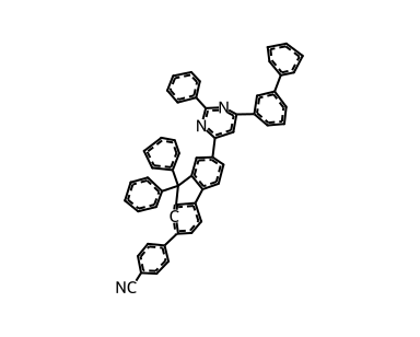 N#Cc1ccc(-c2ccc3c(c2)C(c2ccccc2)(c2ccccc2)c2cc(-c4cc(-c5cccc(-c6ccccc6)c5)nc(-c5ccccc5)n4)ccc2-3)cc1